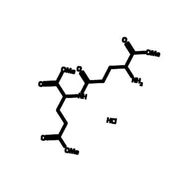 COC(=O)CCC(NC(=O)CCC(N)C(=O)OC)C(=O)OC.Cl